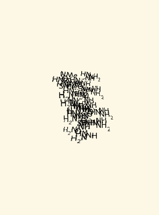 CNCC(=O)N[C@@H](CSC)C(=O)N[C@@H](C)C(=O)NCC(=O)N[C@H](CCCNC(=N)N)C(=O)N[C@H](CCCNC(=N)N)C(=O)N[C@H](CCCNC(=N)N)C(=O)N[C@H](CCCNC(=N)N)C(=O)N[C@H](CCCNC(=N)N)C(=O)N[C@H](CCCNC(=N)N)C(=O)N[C@H](CCCNC(=N)N)C(=O)N[C@H](CCCNC(=N)N)C(=O)N[C@H](CCCNC(=N)N)C(=O)N[C@H](CS)C(N)=O